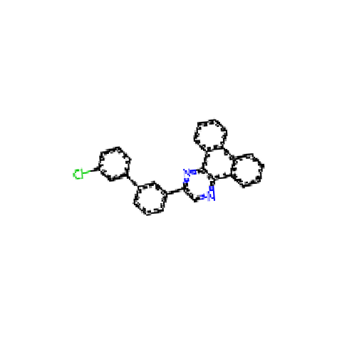 Clc1cccc(-c2cccc(-c3cnc4c5ccccc5c5ccccc5c4n3)c2)c1